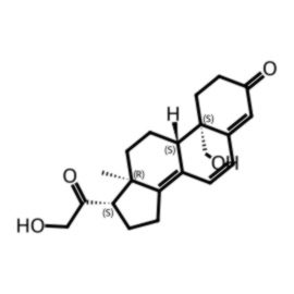 C[C@]12CC[C@H]3C(=C1CC[C@@H]2C(=O)CO)C=CC1=CC(=O)CC[C@@]13CO